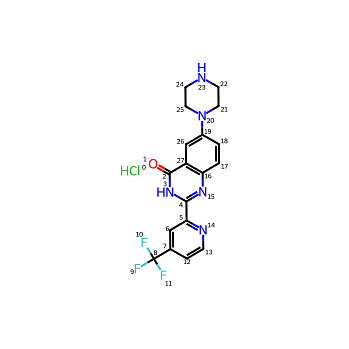 Cl.O=c1[nH]c(-c2cc(C(F)(F)F)ccn2)nc2ccc(N3CCNCC3)cc12